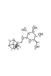 CC1(C)C2CC=C(COC3O[C@H](CO)[C@@H](O)[C@H](O)[C@H]3O)C1C2